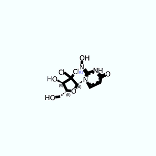 O=c1ccn([C@@H]2O[C@H](CO)[C@@H](O)C2(Cl)Cl)/c(=N/O)[nH]1